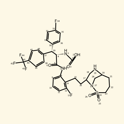 O=C(O)N[C@H](C(=O)Nc1cccc(F)c1CCC1CNC2CCCS(=O)(=O)N1C2)[C@@H](c1ccc(F)cc1)c1ccc(C(F)(F)F)cc1